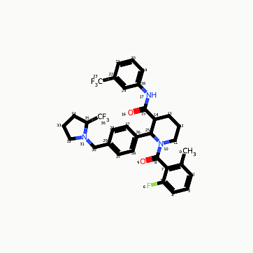 Cc1cccc(F)c1C(=O)N1CCCC(C(=O)Nc2cccc(C(F)(F)F)c2)C1c1ccc(CN2CCCC2C(F)(F)F)cc1